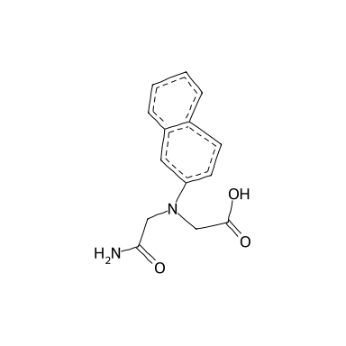 NC(=O)CN(CC(=O)O)c1ccc2ccccc2c1